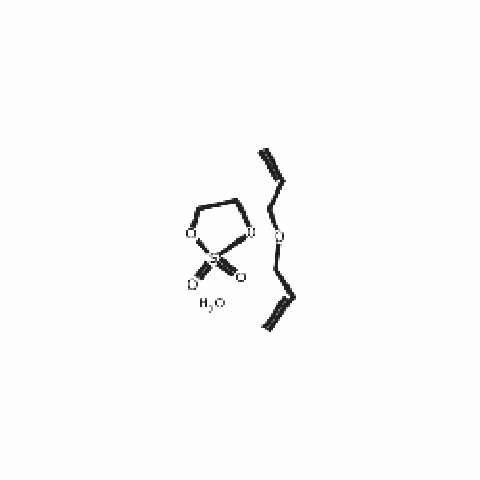 C=CCOCC=C.O.O=S1(=O)OCCO1